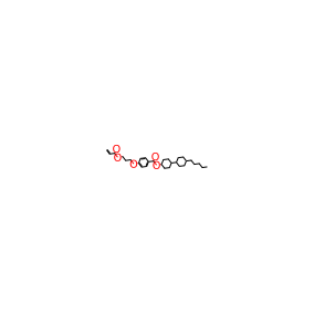 C=CC(=O)OCCCOc1ccc(C(=O)OC2CCC(C3CCC(CCCCC)CC3)CC2)cc1